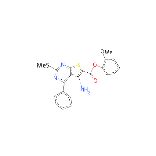 COc1ccccc1OC(=O)c1sc2nc(SC)nc(-c3ccccc3)c2c1N